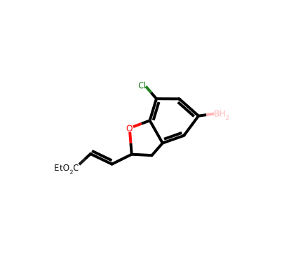 Bc1cc(Cl)c2c(c1)CC(/C=C/C(=O)OCC)O2